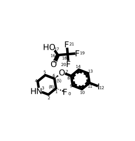 F[C@@H]1CNCC[C@@H]1Oc1ccc(I)cc1.O=C(O)C(F)(F)F